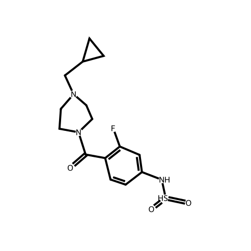 O=C(c1ccc(N[SH](=O)=O)cc1F)N1CCN(CC2CC2)CC1